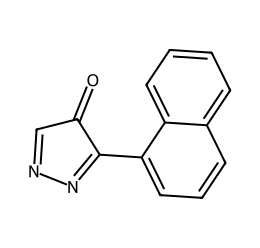 O=C1C=NN=C1c1cccc2ccccc12